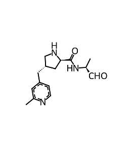 Cc1cc(C[C@@H]2CN[C@@H](C(=O)N[C@@H](C)C=O)C2)ccn1